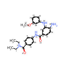 CCN(CC)C(=O)c1ccc(NC(=O)c2ccc(N)c(Nc3cccc(OC)c3)c2)cc1